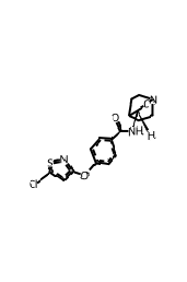 O=C(N[C@H]1CN2CCC1CC2)c1ccc(Oc2cc(Cl)sn2)cc1